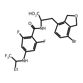 CCC(Nc1cc(F)c(C(=O)NC(Cc2ccc(Br)c3c2COC3)C(=O)O)c(F)c1)C(F)(F)F